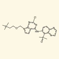 C[Si](C)(C)CCOCn1ccc2c(Nc3ccc4nccnc4c3P(C)(C)=O)nc(Cl)nc21